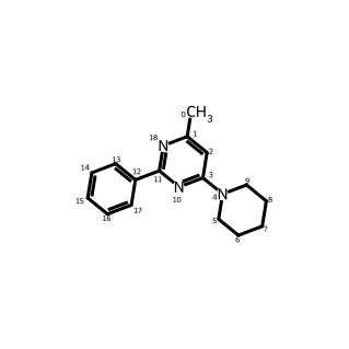 Cc1cc(N2CCCCC2)nc(-c2ccccc2)n1